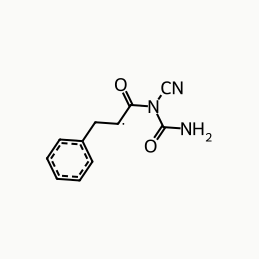 N#CN(C(N)=O)C(=O)[CH]Cc1ccccc1